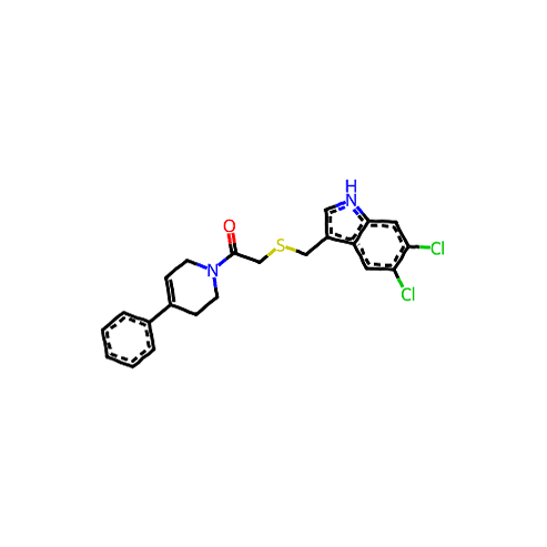 O=C(CSCc1c[nH]c2cc(Cl)c(Cl)cc12)N1CC=C(c2ccccc2)CC1